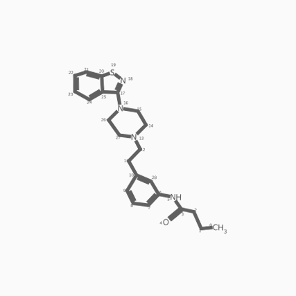 CCCC(=O)Nc1cccc(CCN2CCN(c3nsc4ccccc34)CC2)c1